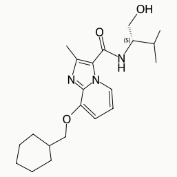 Cc1nc2c(OCC3CCCCC3)cccn2c1C(=O)N[C@H](CO)C(C)C